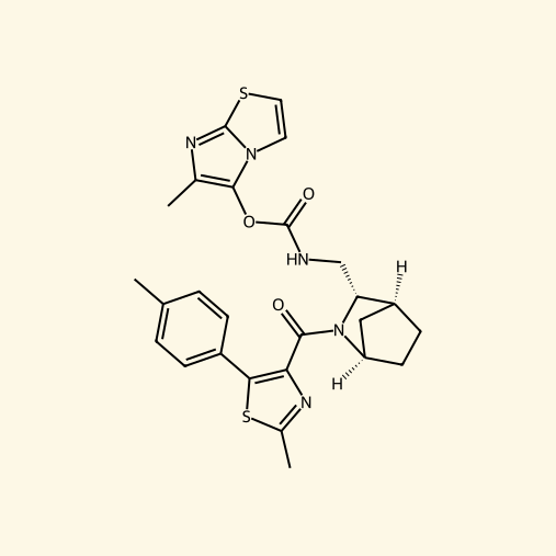 Cc1ccc(-c2sc(C)nc2C(=O)N2[C@@H]3CC[C@@H](C3)[C@H]2CNC(=O)Oc2c(C)nc3sccn23)cc1